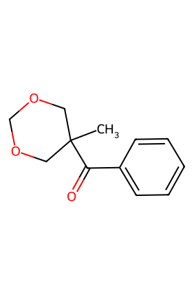 CC1(C(=O)c2ccccc2)COCOC1